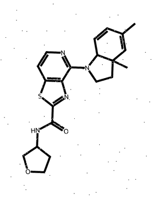 CC1=CC2(C)CCN(c3nccc4sc(C(=O)NC5CCOC5)nc34)C2C=C1